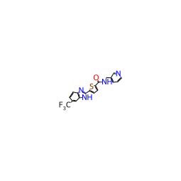 O=C(NCc1cccnc1)c1ccc(-c2nc3ccc(C(F)(F)F)cc3[nH]2)s1